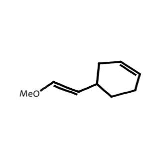 CO/C=C/C1CC=CCC1